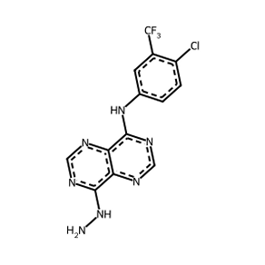 NNc1ncnc2c(Nc3ccc(Cl)c(C(F)(F)F)c3)ncnc12